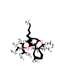 CCCCCc1cc2c(c(O[Si](C(C)C)(C(C)C)C(C)C)c1)[C@@H]1CC(C)=CC[C@H]1C(C)(C)O2